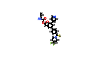 CNC(=O)Oc1cc2cc(-c3ccc(C(=S)N4CCC(F)(F)CC4)cc3)cc(-c3ccncc3)c2o1